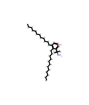 Br.CCCCCCCCCCCCc1cccc(C(C)(C)N)c1CCCCCCCCCCCC